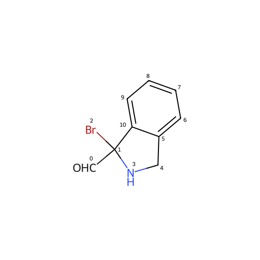 O=CC1(Br)NCc2ccccc21